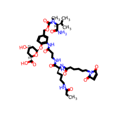 CCC(=O)NCCCC[C@H](NC(=O)CCCCCN1C(=O)C=CC1=O)C(=O)NCCC(=O)Nc1cc(COC(=O)N(C)[C@H](C(N)=O)C(C)C)ccc1O[C@H]1C[C@@H](O)C[C@@H](C(=O)O)O1